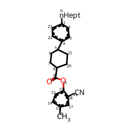 CCCCCCCc1ccc(C2CCC(C(=O)Oc3ccc(C)cc3C#N)CC2)cc1